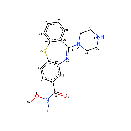 CON(C)C(=O)c1ccc2c(c1)N=C(N1CCNCC1)c1ccccc1S2